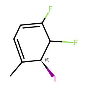 CC1=CC=C(F)C(F)[C@H]1I